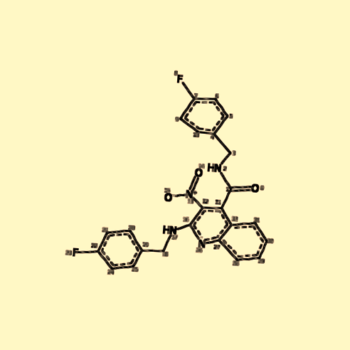 O=C(NCc1ccc(F)cc1)c1c([N+](=O)[O-])c(NCc2ccc(F)cc2)nc2ccccc12